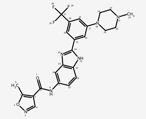 Cc1oncc1C(=O)Nc1ccc2[nH]c(-c3cc(N4CCN(C)CC4)cc(C(F)(F)F)c3)nc2c1